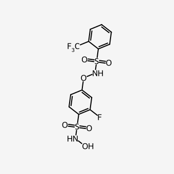 O=S(=O)(NO)c1ccc(ONS(=O)(=O)c2ccccc2C(F)(F)F)cc1F